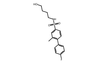 Cc1cc(S(=O)(=O)NCCCCO)ccc1-c1ccc(F)cc1